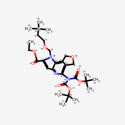 CCOC(=O)c1cc2nc(N(C(=O)OC(C)(C)C)C(=O)OC(C)(C)C)c3c(c2n1COCC[Si](C)(C)C)COC3